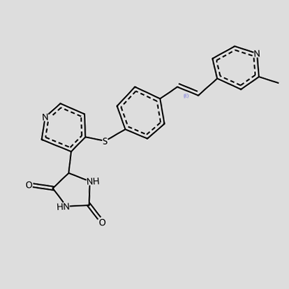 Cc1cc(/C=C/c2ccc(Sc3ccncc3C3NC(=O)NC3=O)cc2)ccn1